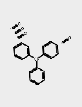 [C]=O.[C]=O.[C]=O.[C]=O.c1cc[c]([Co]([c]2ccccc2)[c]2ccccc2)cc1